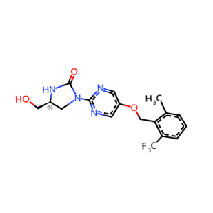 Cc1cccc(C(F)(F)F)c1COc1cnc(N2C[C@@H](CO)NC2=O)nc1